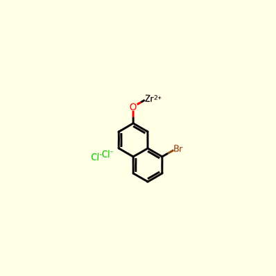 Brc1cccc2ccc([O][Zr+2])cc12.[Cl-].[Cl-]